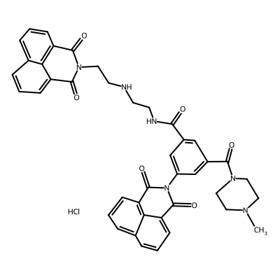 CN1CCN(C(=O)c2cc(C(=O)NCCNCCN3C(=O)c4cccc5cccc(c45)C3=O)cc(N3C(=O)c4cccc5cccc(c45)C3=O)c2)CC1.Cl